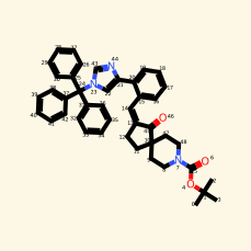 CC(C)(C)OC(=O)N1CCC2(CCC(=Cc3ccccc3-c3cn(C(c4ccccc4)(c4ccccc4)c4ccccc4)cn3)C2=O)CC1